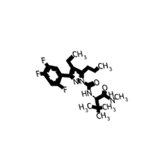 CCCc1c(CC)c(-c2cc(F)c(F)cc2F)nn1C(=O)N[C@H](C(=O)NC)C(C)(C)C